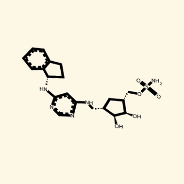 NS(=O)(=O)OC[C@H]1C[C@@H](CNc2cc(N[C@H]3CCc4ccccc43)ncn2)[C@H](O)[C@@H]1O